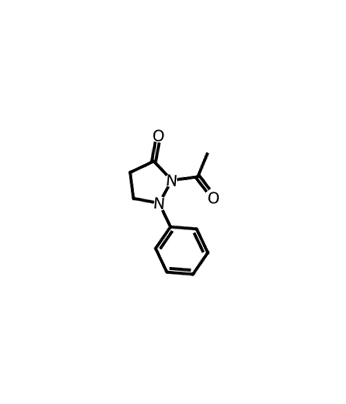 CC(=O)N1C(=O)CCN1c1ccccc1